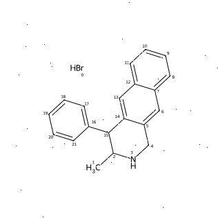 Br.CC1NCc2cc3ccccc3cc2C1c1ccccc1